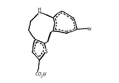 O=C(O)c1cc2c(s1)-c1cc(Br)ccc1NCC2